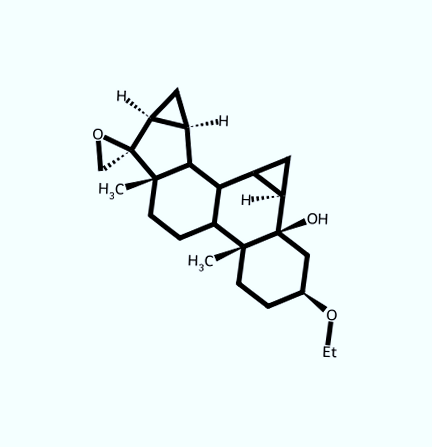 CCO[C@H]1CC[C@]2(C)C3CC[C@@]4(C)C(C3C3C[C@H]3[C@]2(O)C1)[C@@H]1C[C@@H]1[C@@]41CO1